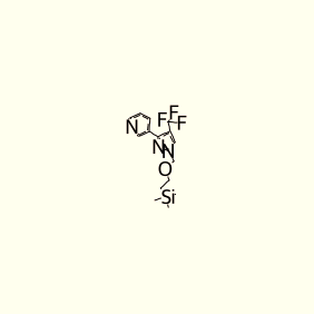 C[Si](C)(C)CCOCn1cc(C(F)(F)F)c(-c2cccnc2)n1